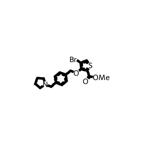 COC(=O)c1scc(Br)c1OCc1ccc(CN2CCCC2)cc1